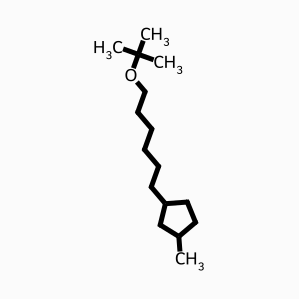 CC1CCC(CCCCCCOC(C)(C)C)C1